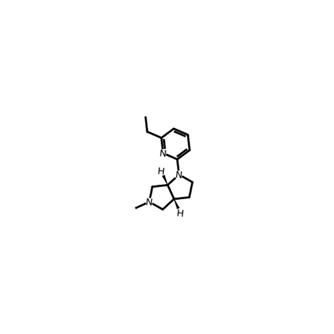 CCc1cccc(N2CC[C@@H]3CN(C)C[C@@H]32)n1